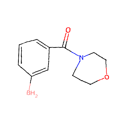 Bc1cccc(C(=O)N2CCOCC2)c1